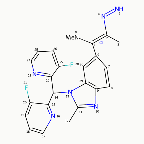 CN/C(=C(/C)N=N)c1ccc2nc(C)n(C(c3ncccc3F)c3ncccc3F)c2c1